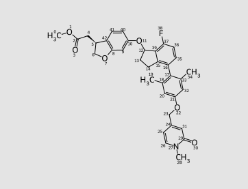 COC(=O)C[C@@H]1COc2cc(OC3CCc4c(-c5c(C)cc(OCc6ccn(C)c(=O)c6)cc5C)ccc(F)c43)ccc21